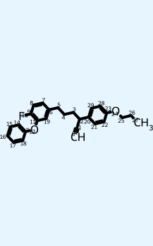 C#CC(CCCc1ccc(F)c(Oc2ccccc2)c1)c1ccc(OCCC)cc1